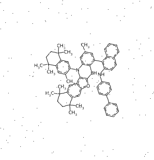 Cc1cc(-c2c(Nc3ccc(-c4ccccc4)cc3)ccc3ccccc23)c2c(c1)N(c1cc3c(cc1C)C(C)(C)CCC3(C)C)c1c(oc3cc4c(cc13)C(C)(C)CCC4(C)C)B2